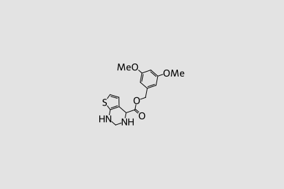 COc1cc(COC(=O)C2NCNc3sccc32)cc(OC)c1